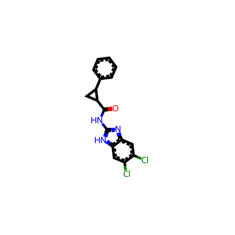 O=C(Nc1nc2cc(Cl)c(Cl)cc2[nH]1)C1CC1c1ccccc1